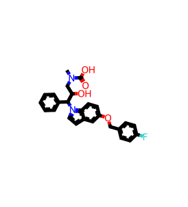 CN(CC(O)C(c1ccccc1)n1ccc2cc(OCc3ccc(F)cc3)ccc21)C(=O)O